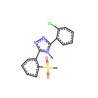 Cn1c(-c2ccccc2Cl)nnc1-c1ccccc1S(C)(=O)=O